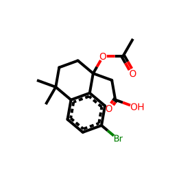 CC(=O)OC1(CC(=O)O)CCC(C)(C)c2ccc(Br)cc21